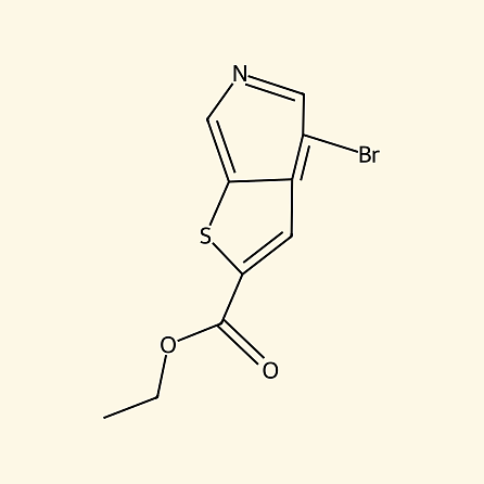 CCOC(=O)c1cc2c(Br)cncc2s1